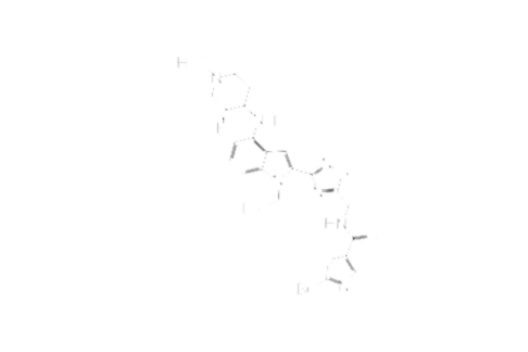 CN1CC[C@@H](Nc2cccc3c2cc(-c2noc(CNC(=O)c4cnc(C(C)(C)C)o4)n2)n3CC(F)(F)F)[C@@H](F)C1